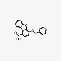 O=C(O)c1ccc(OCc2ccccc2)c2oc3ccccc3c12